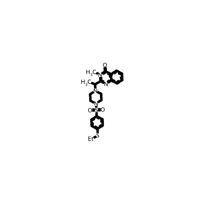 CCSc1ccc(S(=O)(=O)N2CCN(C(C)c3nc4ccccc4c(=O)n3C)CC2)cc1